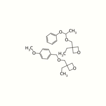 CCC1(COC(C)Oc2ccccc2)COC1.CCC1(COCc2ccc(OC)cc2)COC1